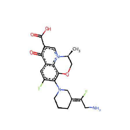 C[C@H]1COc2c(N3CCC/C(=C(/F)CN)C3)c(F)cc3c(=O)c(C(=O)O)cn1c23